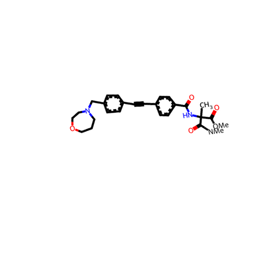 CNC(=O)C(C)(NC(=O)c1ccc(C#Cc2ccc(CN3CCCOCC3)cc2)cc1)C(=O)OC